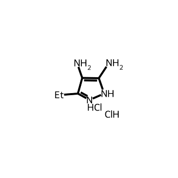 CCc1n[nH]c(N)c1N.Cl.Cl